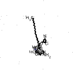 CCCCCCCCCCCCCCCCCCC[C@H](COP(=O)(O)OC[C@@]1(/C=N\C)O[C@@H](c2ccc3c(N)ncnn23)[C@H](O)[C@@H]1O)OCc1cc(Cl)cc(C#N)c1